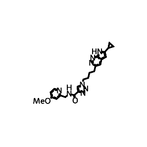 COc1ccnc(CNC(=O)c2cn(CCCCc3cc4cc(C5CC5)[nH]c4nn3)nn2)c1